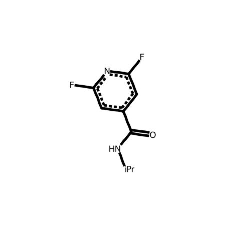 CC(C)NC(=O)c1cc(F)nc(F)c1